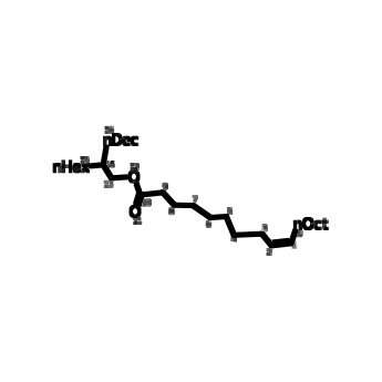 CCCCCCCC/C=C\CCCCCCCC(=O)OCC(CCCCCC)CCCCCCCCCC